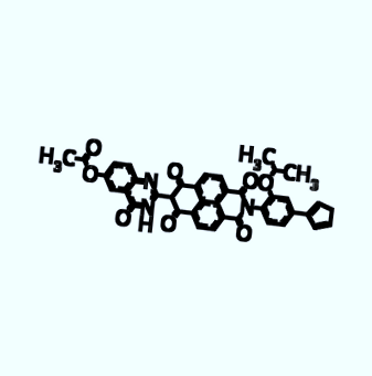 CC(=O)Oc1ccc2nc(C3C(=O)c4ccc5c6c(ccc(c46)C3=O)C(=O)N(c3ccc(C4=CCC=C4)cc3OC(C)C)C5=O)[nH]c(=O)c2c1